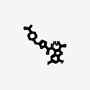 CC(=O)N1CCN(Cc2ccc(C(=O)Nc3c(C(N)=O)oc4c(F)cc(F)cc34)o2)CC1